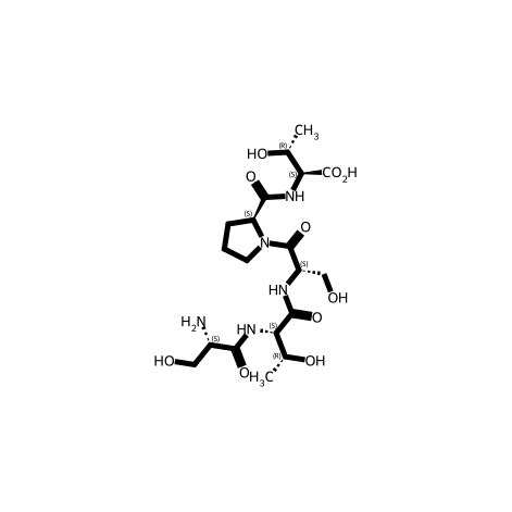 C[C@@H](O)[C@H](NC(=O)[C@@H]1CCCN1C(=O)[C@H](CO)NC(=O)[C@@H](NC(=O)[C@@H](N)CO)[C@@H](C)O)C(=O)O